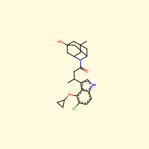 CC(CC(=O)N1C2CC3(C)CC1CC(O)(C2)C3)c1c[nH]c2ccc(Cl)c(OC3CC3)c12